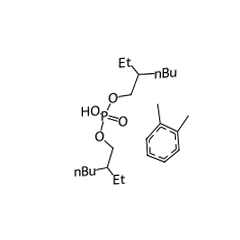 CCCCC(CC)COP(=O)(O)OCC(CC)CCCC.Cc1ccccc1C